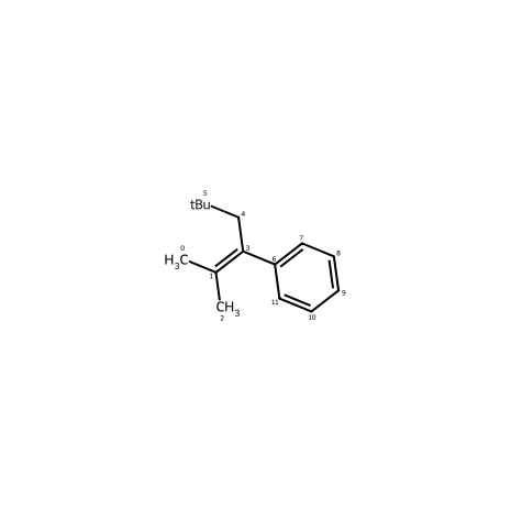 CC(C)=C(CC(C)(C)C)c1ccccc1